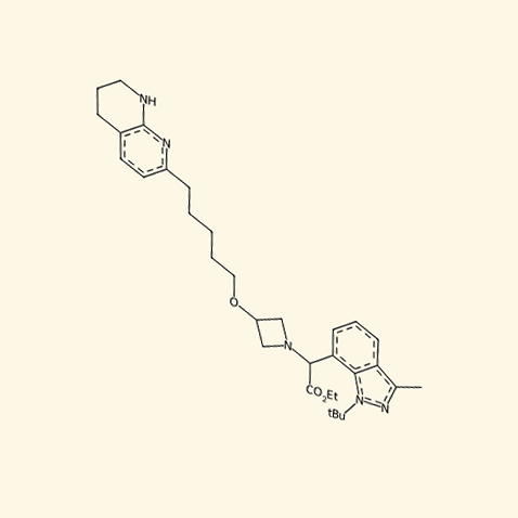 CCOC(=O)C(c1cccc2c(C)nn(C(C)(C)C)c12)N1CC(OCCCCCc2ccc3c(n2)NCCC3)C1